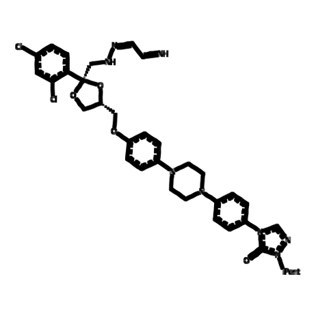 CCCC(C)n1ncn(-c2ccc(N3CCN(c4ccc(OC[C@@H]5CO[C@@](CN/N=C\C=N)(c6ccc(Cl)cc6Cl)O5)cc4)CC3)cc2)c1=O